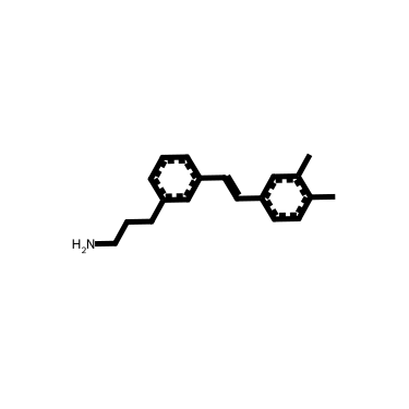 Cc1ccc(/C=C/c2cccc(CCCN)c2)cc1C